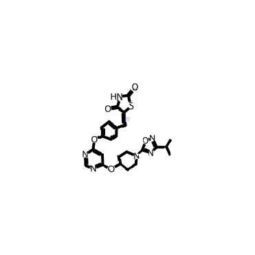 CC(C)c1noc(N2CCC(Oc3cc(Oc4ccc(/C=C5/SC(=O)NC5=O)cc4)ncn3)CC2)n1